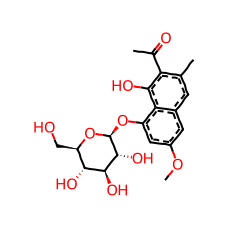 COc1cc(O[C@@H]2O[C@H](CO)[C@@H](O)[C@H](O)[C@H]2O)c2c(O)c(C(C)=O)c(C)cc2c1